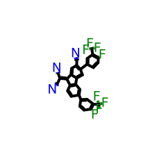 N#CC(C#N)=C1c2ccc(-c3ccc(F)c(C(F)(F)F)c3)cc2-c2cc(-c3ccc(F)c(C(F)(F)F)c3)c(C#N)cc21